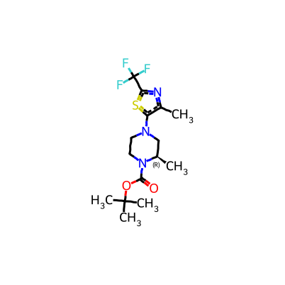 Cc1nc(C(F)(F)F)sc1N1CCN(C(=O)OC(C)(C)C)[C@H](C)C1